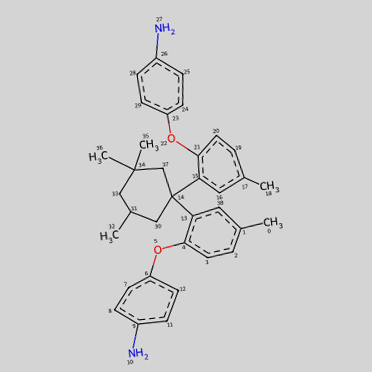 Cc1ccc(Oc2ccc(N)cc2)c(C2(c3cc(C)ccc3Oc3ccc(N)cc3)CC(C)CC(C)(C)C2)c1